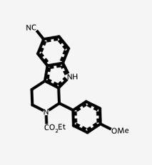 CCOC(=O)N1CCc2c([nH]c3ccc(C#N)cc23)C1c1ccc(OC)cc1